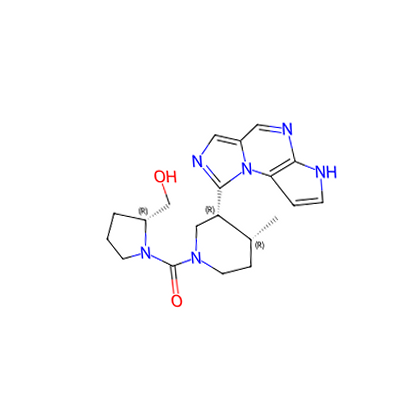 C[C@@H]1CCN(C(=O)N2CCC[C@@H]2CO)C[C@@H]1c1ncc2cnc3[nH]ccc3n12